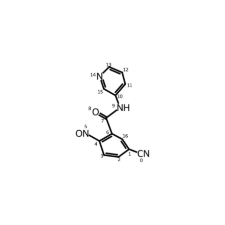 N#Cc1ccc(N=O)c(C(=O)Nc2cccnc2)c1